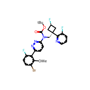 COc1c(Br)ccc(F)c1-c1ccc(N(C[C@]2(c3ncccc3F)C[C@@H](F)C2)C(=O)OC(C)(C)C)nn1